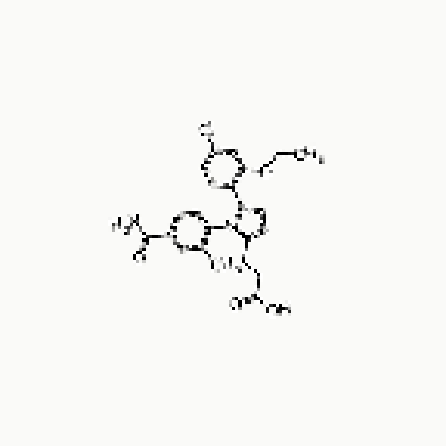 CCOc1cc(Cl)ccc1-c1ccc(CCC(=O)O)n1-c1ccc(C(N)=O)cc1C